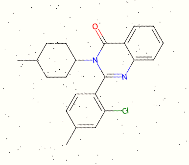 Cc1ccc(-c2nc3ccccc3c(=O)n2C2CCC(C)CC2)c(Cl)c1